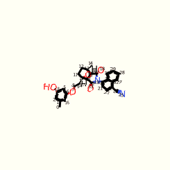 Cc1cc(O)cc(OCC[C@@]23CC[C@@](C)(O2)[C@H]2C(=O)N(c4ccc(C#N)c5ccccc45)C(=O)[C@H]23)c1